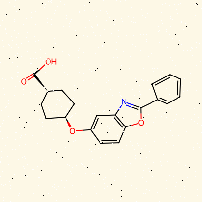 O=C(O)[C@H]1CC[C@@H](Oc2ccc3oc(-c4ccccc4)nc3c2)CC1